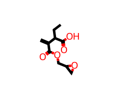 C=C(C(=O)OCC1CO1)C(CC)C(=O)O